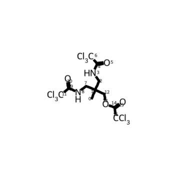 CC(CNC(=O)C(Cl)(Cl)Cl)(CNC(=O)C(Cl)(Cl)Cl)COC(=O)C(Cl)(Cl)Cl